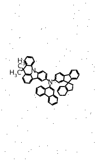 CC1(C)c2ccccc2-n2c3ccc(N(c4ccc5c(c4)C4(CCC6=C4C=CCC6)c4ccccc4-5)c4cc5ccccc5c5ccccc45)cc3c3cccc1c32